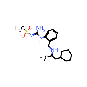 CC(CC1CCCCC1)NCc1ccccc1N/C(N)=N/S(C)(=O)=O